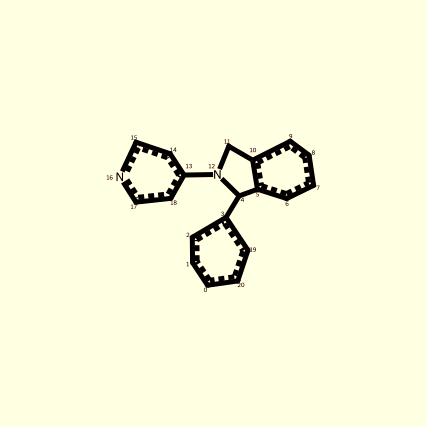 c1ccc(C2c3ccccc3CN2c2ccncc2)cc1